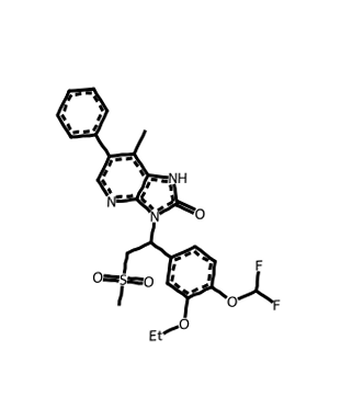 CCOc1cc(C(CS(C)(=O)=O)n2c(=O)[nH]c3c(C)c(-c4ccccc4)cnc32)ccc1OC(F)F